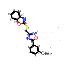 COc1cccc(-c2nc(CSc3nc4ccccc4o3)no2)c1